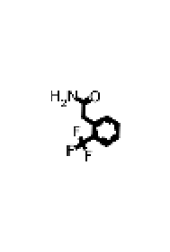 NC(=O)Cc1ccccc1C(F)(F)F